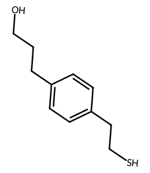 OCCCc1ccc(CCS)cc1